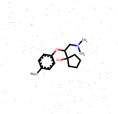 COc1ccc(OC(CN(C)C)C2(O)CCCC2)cc1